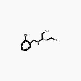 CCC[C@@H](CO)NCc1ccccc1O